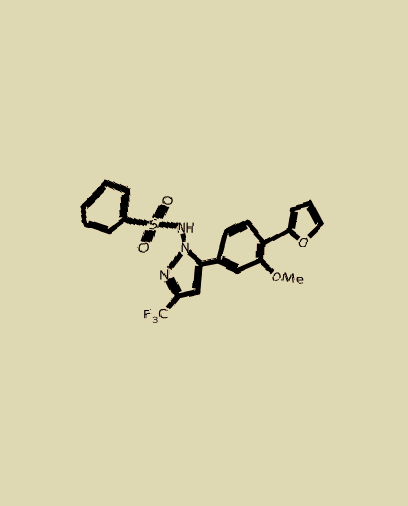 COc1cc(-c2cc(C(F)(F)F)nn2NS(=O)(=O)c2ccccc2)ccc1-c1ccco1